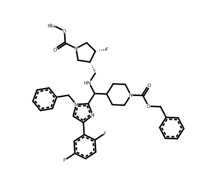 CC(C)(C)OC(=O)N1C[C@@H](CNC(c2nc(-c3cc(F)ccc3F)cn2Cc2ccccc2)C2CCN(C(=O)OCc3ccccc3)CC2)[C@@H](F)C1